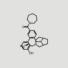 C=CCN1CCC2CCC(C1)N2Cc1ccc(C(=O)N2CCCCCC2)cc1-c1cccc(O)c1